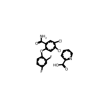 NC(=O)c1cc(Cl)c(Cl)cc1Oc1ccc(F)cc1F.O=C(O)c1ccccn1